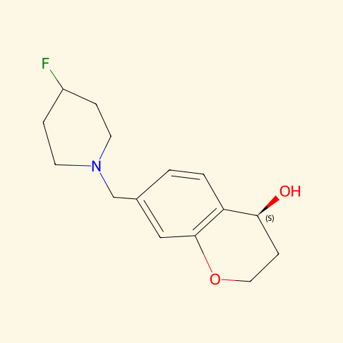 O[C@H]1CCOc2cc(CN3CCC(F)CC3)ccc21